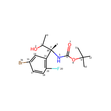 CC(O)[C@](C)(NC(=O)OC(C)(C)C)c1cc(Br)ccc1F